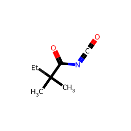 CCC(C)(C)C(=O)N=C=O